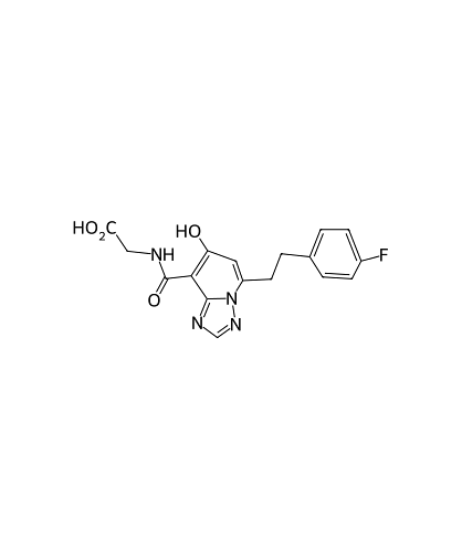 O=C(O)CNC(=O)c1c(O)cc(CCc2ccc(F)cc2)n2ncnc12